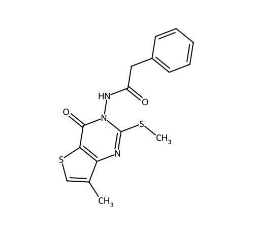 CSc1nc2c(C)csc2c(=O)n1NC(=O)Cc1ccccc1